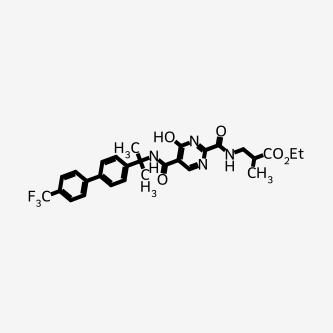 CCOC(=O)C(C)CNC(=O)c1ncc(C(=O)NC(C)(C)c2ccc(-c3ccc(C(F)(F)F)cc3)cc2)c(O)n1